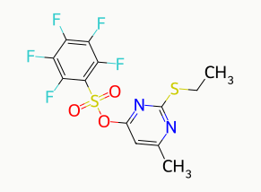 CCSc1nc(C)cc(OS(=O)(=O)c2c(F)c(F)c(F)c(F)c2F)n1